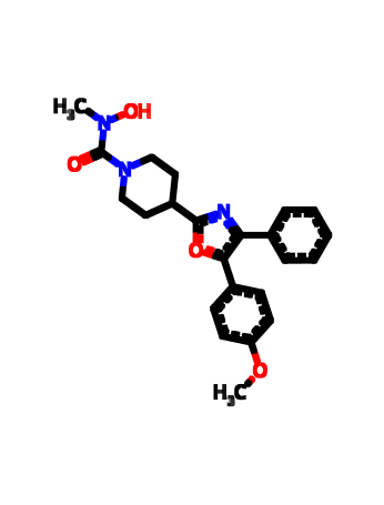 COc1ccc(-c2oc(C3CCN(C(=O)N(C)O)CC3)nc2-c2ccccc2)cc1